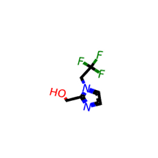 OCc1nccn1CC(F)(F)F